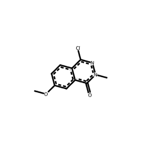 COc1ccc2c(Cl)nn(C)c(=O)c2c1